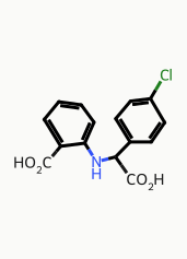 O=C(O)c1ccccc1NC(C(=O)O)c1ccc(Cl)cc1